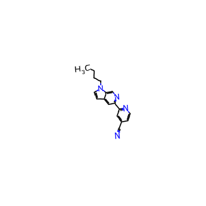 CCCCn1ccc2cc(-c3cc(C#N)ccn3)ncc21